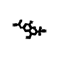 O=C(O)Cc1cc(Br)c2c(c1)C(O)=CC(S(=O)(=O)O)O2